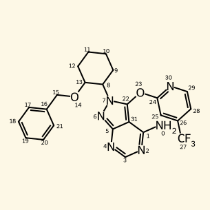 Nc1ncnc2nn(C3CCCCC3OCc3ccccc3)c(Oc3cc(C(F)(F)F)ccn3)c12